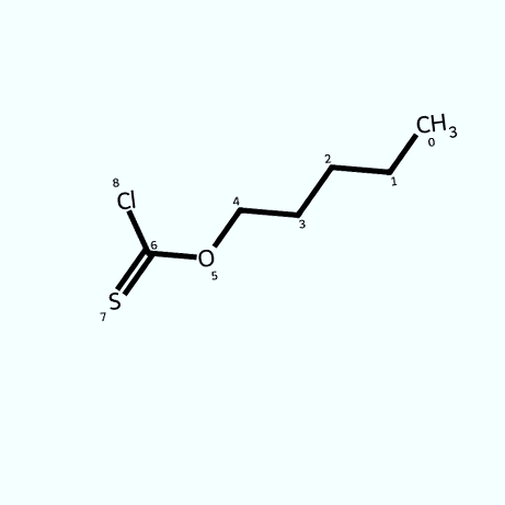 CCCCCOC(=S)Cl